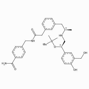 C[C@H](Cc1cccc(CC(=O)NCc2ccc(C(N)=O)cc2)c1)NC[C@H](O[Si](C)(C)C(C)(C)C)c1ccc(O)c(CO)c1